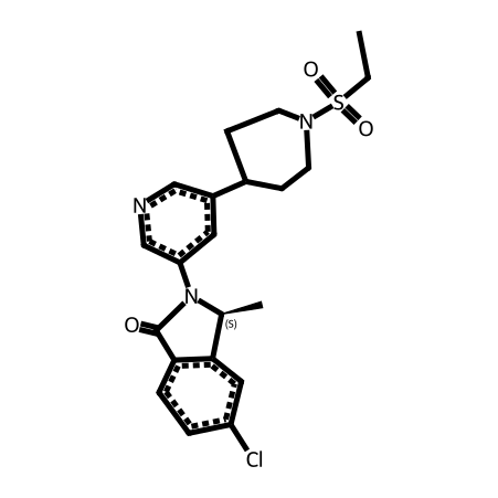 CCS(=O)(=O)N1CCC(c2cncc(N3C(=O)c4ccc(Cl)cc4[C@@H]3C)c2)CC1